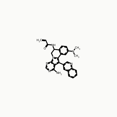 C=CC(=O)NC1Cn2c(c(-c3cnc4ccccc4c3)c3c(N)ncnc32)-c2cc(N(C)C)ccc21